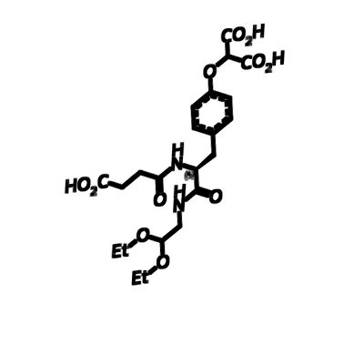 CCOC(CNC(=O)[C@H](Cc1ccc(OC(C(=O)O)C(=O)O)cc1)NC(=O)CCC(=O)O)OCC